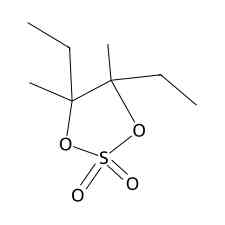 CCC1(C)OS(=O)(=O)OC1(C)CC